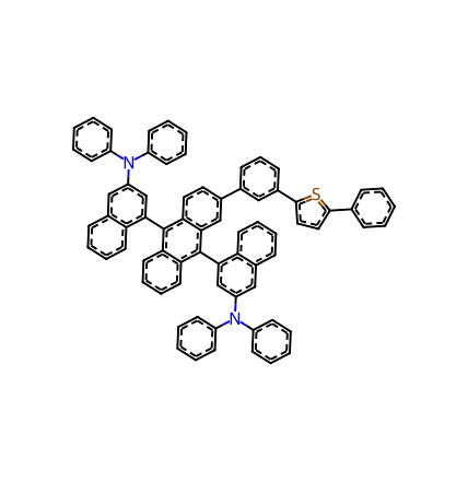 c1ccc(-c2ccc(-c3cccc(-c4ccc5c(-c6cc(N(c7ccccc7)c7ccccc7)cc7ccccc67)c6ccccc6c(-c6cc(N(c7ccccc7)c7ccccc7)cc7ccccc67)c5c4)c3)s2)cc1